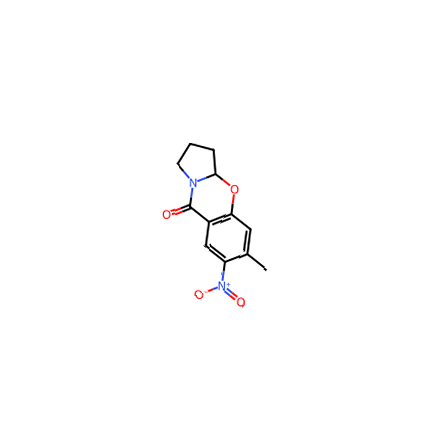 Cc1cc2c(cc1[N+](=O)[O-])C(=O)N1CCCC1O2